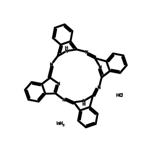 Cl.[InH3].c1ccc2c(c1)-c1nc-2nc2[nH]c(nc3nc(nc4[nH]c(n1)c1ccccc41)-c1ccccc1-3)c1ccccc21